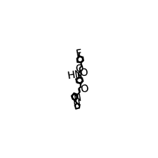 O=C(Nc1ccc(C(=O)C=Cc2cccc(N3CCCC3)n2)cc1)OCc1ccc(F)cc1